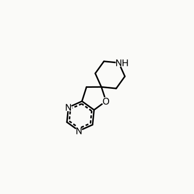 c1ncc2c(n1)CC1(CCNCC1)O2